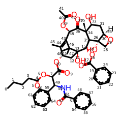 CCCCC(=O)O[C@@H](C(=O)O[C@H]1C[C@@]2(O)[C@@H](OC(=O)c3ccccc3)C3[C@]4(O)CO[C@@H]4C[C@H](O)[C@@]3(C)C(=O)[C@H](OC(C)=O)C(=C1C)C2(C)C)[C@@H](NC(=O)c1ccccc1)c1ccccc1